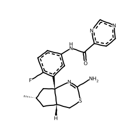 C[C@H]1C[C@H]2CSC(N)=N[C@@]2(c2cc(NC(=O)c3ccncn3)ccc2F)C1